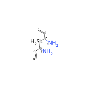 C=CC(N)[SiH2]C(N)C=C